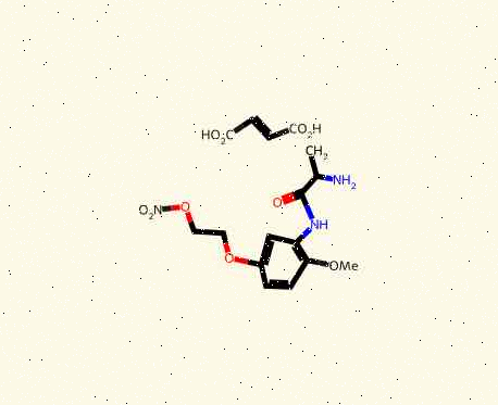 COc1ccc(OCCO[N+](=O)[O-])cc1NC(=O)C(C)N.O=C(O)C=CC(=O)O